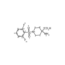 NC1(C(=O)O)CCN(S(=O)(=O)c2c(F)cccc2F)CC1